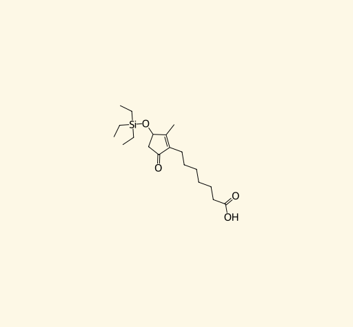 CC[Si](CC)(CC)OC1CC(=O)C(CCCCCCC(=O)O)=C1C